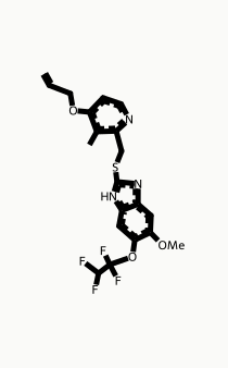 C=CCOc1ccnc(CSc2nc3cc(OC)c(OC(F)(F)C(F)F)cc3[nH]2)c1C